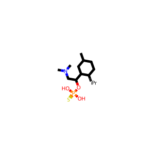 CC1CCC(C(C)C)C(C(CN(C)C)OP(O)(O)=S)C1